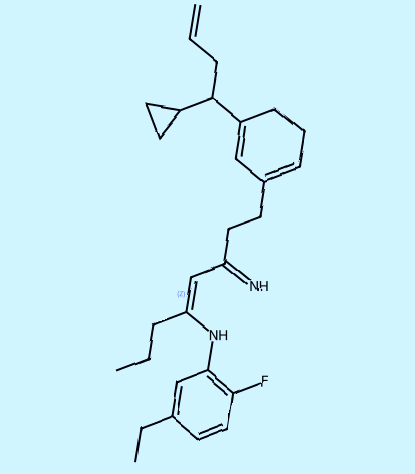 C=CCC(C1=CC(CCC(=N)/C=C(/CCC)Nc2cc(CC)ccc2F)=CCC1)C1CC1